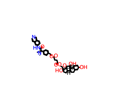 CN(C)[C@@H](C(=O)Nc1ccc2cnccc2c1)c1ccc(COC(=O)CCC(=O)OCC(=O)[C@@]2(O)CC[C@H]3[C@@H]4CCC5=CC(O)C=C[C@]5(C)[C@H]4[C@@H](O)C[C@@]32C)cc1